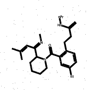 C=C(CCc1ccc(CC)cc1C(=O)N1CCCCC1/C(C=C(C)C)=N/C)NCCC